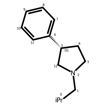 CC(C)CN1CC[C@@H](c2ccccc2)C1